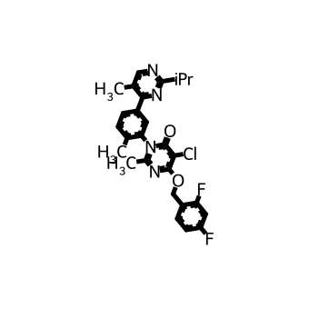 Cc1ccc(-c2nc(C(C)C)ncc2C)cc1-n1c(C)nc(OCc2ccc(F)cc2F)c(Cl)c1=O